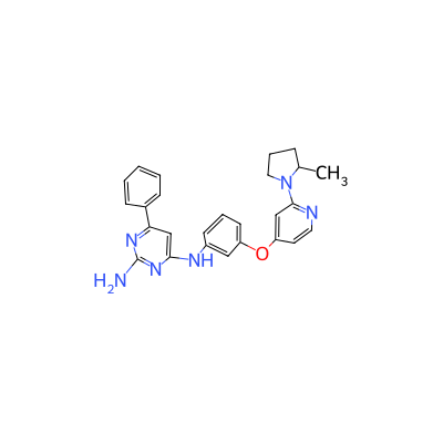 CC1CCCN1c1cc(Oc2cccc(Nc3cc(-c4ccccc4)nc(N)n3)c2)ccn1